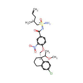 C=CC[C@H](C)C[S@](N)(=O)=NC(=O)c1ccc(OC[C@@]2(C(C)OC)CCCc3cc(Cl)ccc32)c([N+](=O)[O-])c1